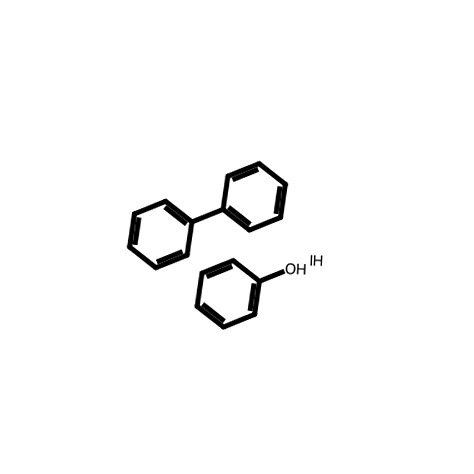 I.Oc1ccccc1.c1ccc(-c2ccccc2)cc1